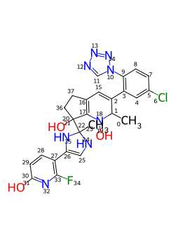 CC1C(c2cc(Cl)ccc2-n2cnnn2)=CC2=C(N1O)C(O)(C1(C)NC=C(c3ccc(O)nc3F)N1)CC2